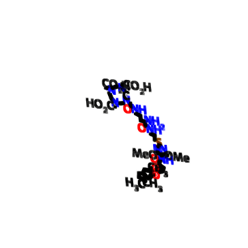 COc1nc(SCCCNC(=O)[C@H](N)CCCNC(=O)CN2CCN(CC(=O)O)CCN(CC(=O)O)CCN(CC(=O)O)CC2)nc(OC)c1NC(=O)c1ccc(Oc2cc3c(cc2C)CCC3(C)C)o1